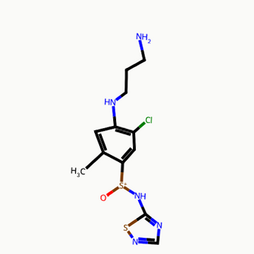 Cc1cc(NCCCN)c(Cl)cc1[S+]([O-])Nc1ncns1